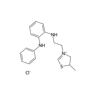 CC1C[N+](CCNc2ccccc2Nc2ccccc2)=CS1.[Cl-]